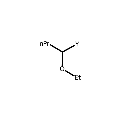 CCC[CH]([Y])OCC